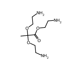 CC(OCCN)(OCCN)C(=O)OCCN